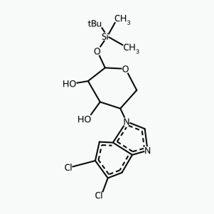 CC(C)(C)[Si](C)(C)OC1OCC(n2cnc3cc(Cl)c(Cl)cc32)C(O)C1O